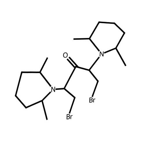 CC1CCCC(C)N1C(CBr)C(=O)C(CBr)N1C(C)CCCC1C